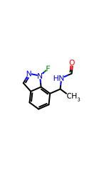 CC(NC=O)c1cccc2cnn(F)c12